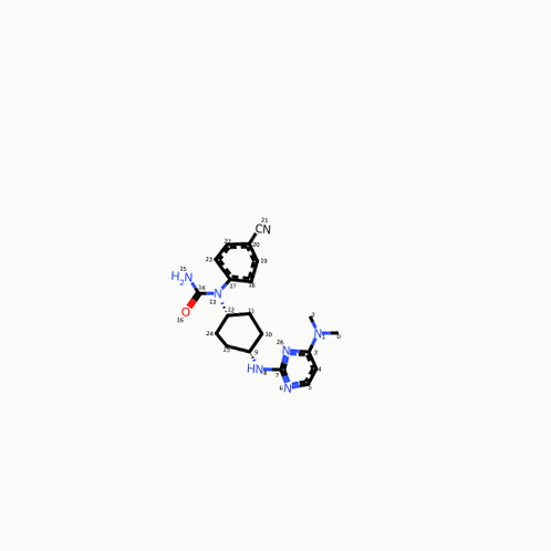 CN(C)c1ccnc(N[C@H]2CC[C@@H](N(C(N)=O)c3ccc(C#N)cc3)CC2)n1